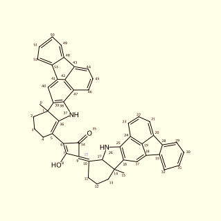 CC12CCCC(C3=C(O)/C(=C4\CCCC5(C)c6cc7c8c(cccc8c6NC45)-c4ccccc4-7)C3=O)=C1Nc1c2cc2c3c(cccc13)-c1ccccc1-2